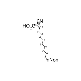 CCCCCCCCCCCCCCCCCCC=C(C#N)C(=O)O